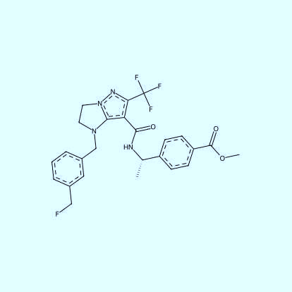 COC(=O)c1ccc([C@H](C)NC(=O)c2c(C(F)(F)F)nn3c2N(Cc2cccc(CF)c2)CC3)cc1